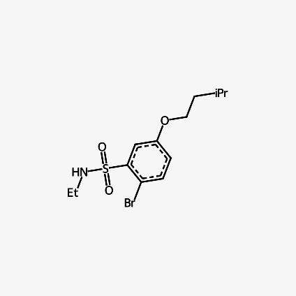 CCNS(=O)(=O)c1cc(OCCC(C)C)ccc1Br